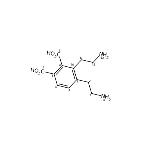 NCCc1ccc(C(=O)O)c(C(=O)O)c1CCN